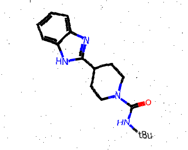 CC(C)(C)NC(=O)N1CCC(c2nc3ccccc3[nH]2)CC1